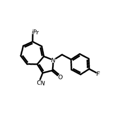 CC(C)c1cccc2c(C#N)c(=O)n(Cc3ccc(F)cc3)c-2c1